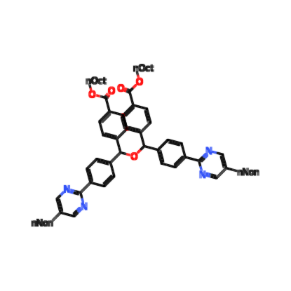 CCCCCCCCCc1cnc(-c2ccc(C(OC(c3ccc(C(=O)OCCCCCCCC)cc3)c3ccc(-c4ncc(CCCCCCCCC)cn4)cc3)c3ccc(C(=O)OCCCCCCCC)cc3)cc2)nc1